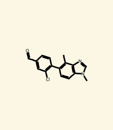 Cc1c(-c2ccc(C=O)cc2Cl)ccc2c1ncn2C